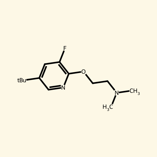 CN(C)CCOc1ncc(C(C)(C)C)cc1F